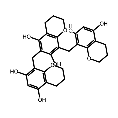 Oc1cc(O)c(Cc2c(O)c3c(c(Cc4c(O)cc(O)c5c4OCCC5)c2O)OCCC3)c2c1CCCO2